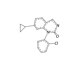 O=c1ncc2ccc(C3CC3)cc2n1-c1ccccc1Cl